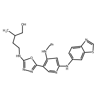 CC(CO)CCNc1nnc(-c2cnc(Nc3ccc4ncsc4c3)cc2NC(C)C)o1